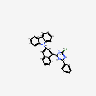 ClC1=NC(c2ccccc2)=NC(c2cc(-n3c4ccccc4c4ccccc43)cc3ccccc23)N1